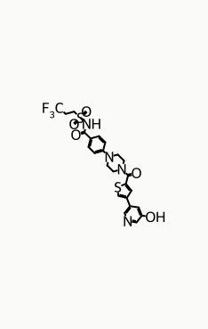 O=C(NS(=O)(=O)CCC(F)(F)F)c1ccc(N2CCN(C(=O)c3cc(-c4cncc(O)c4)cs3)CC2)cc1